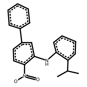 CC(C)c1ccccc1Nc1cc(-c2ccccc2)ccc1[N+](=O)[O-]